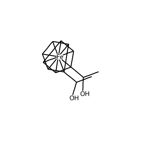 CC(O)[C]12[CH]3[CH]4[CH]5[CH]1[Fe]45321678[CH]2[CH]1[CH]6[C]7(C(C)O)[CH]28